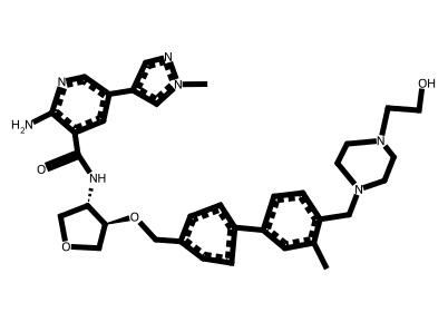 Cc1cc(-c2ccc(CO[C@H]3COC[C@@H]3NC(=O)c3cc(-c4cnn(C)c4)cnc3N)cc2)ccc1CN1CCN(CCO)CC1